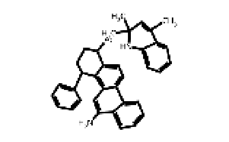 CC(=O)C1CCC(c2ccccc2)c2c1ccc1c2cc(N)c2ccccc21.CC1=CC(C)(C)Nc2ccccc21